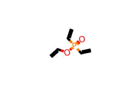 C=COP(=O)(C=C)C=C